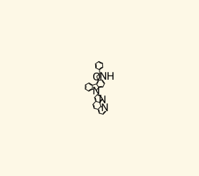 c1ccc(C2Nc3ccc4c(c3O2)c2ccccc2n4-c2cnc3c(ccc4cccnc43)c2)cc1